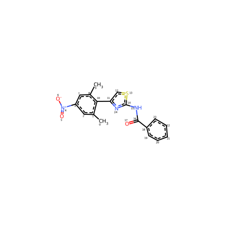 Cc1cc([N+](=O)[O-])cc(C)c1-c1csc(NC(=O)c2ccccc2)n1